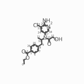 CCOC(=O)c1ccc(CC(C)N(C(=O)CO)c2cnc(N)c(Cl)c2)cc1